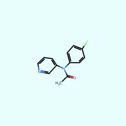 CC(=O)N(c1ccc(F)cc1)c1cccnc1